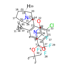 CC(C)(C)OC(=O)c1cc(C2CC2)c(CN2[C@@H]3CC[C@H]2C[C@H](Oc2ncc(C(F)(F)F)cc2Cl)C3)cc1F